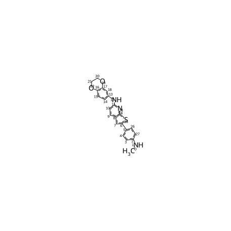 CNc1ccc(-c2cc3ccc(Nc4ccc5c(c4)OCCO5)nc3s2)cc1